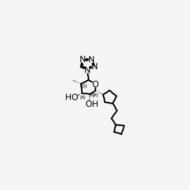 C[C@@H]1C(n2cnnn2)O[C@H](C2CCC(CCC3CCC3)C2)[C@H](O)[C@@H]1O